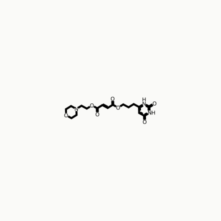 O=C(/C=C/C(=O)OCCN1CCOCC1)OCCCc1cc(=O)[nH]c(=O)[nH]1